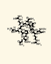 CNC(=O)[C@H](CCC(N)=O)NC(=O)[C@@H]1CCCN1C(=O)[C@H](CCCNC(=N)N)NC(=O)[C@H](CCCNC(=N)N)NC(=O)[C@H](CCC(N)=O)NC(=O)[C@H](C)NC(=O)[C@H](CCC(N)=O)NC(=O)[C@H](CCCNC(=N)N)NC(=O)[C@H](CC(C)C)NC(C)=O